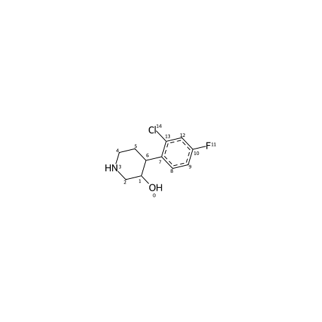 OC1CNCCC1c1ccc(F)cc1Cl